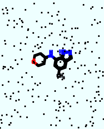 Cc1cc(NC2CCOCC2)c2[nH]ncc2c1